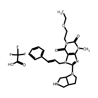 CCOCCn1c(=O)c2c(nc(N3CCC4CNCC43)n2CC=Cc2ccccc2)n(C)c1=O.O=C(O)C(F)(F)F